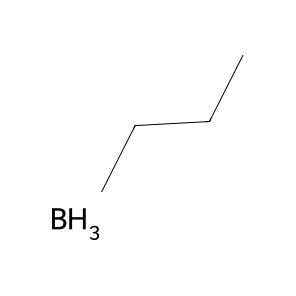 B.CCCC